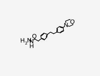 NNC(=O)Cc1ccc(CCc2ccc(N3CCOCC3)cc2)cc1